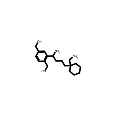 NCC1(CCCC(N)c2cc(CO)ccc2CO)CCCCC1